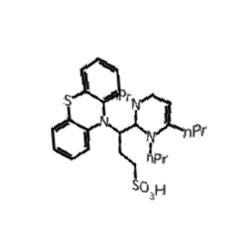 CCCC1=CCN(CCC)C(C(CCS(=O)(=O)O)N2c3ccccc3Sc3ccccc32)N1CCC